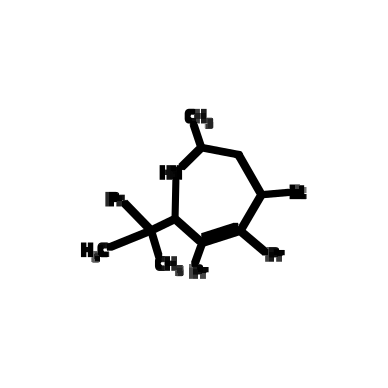 CCC1CC(C)NC(C(C)(C)C(C)C)C(C(C)C)=C1C(C)C